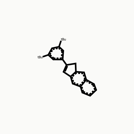 CC(C)(C)c1cc(C2=Cc3cc4ccccc4cc3C2)cc(C(C)(C)C)c1